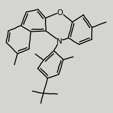 Cc1ccc2c(c1)Oc1ccc3ccc(C)cc3c1N2c1c(C)cc(C(C)(C)C)cc1C